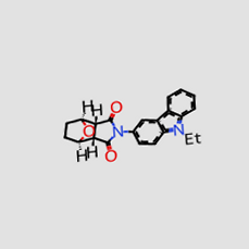 CCn1c2ccccc2c2cc(N3C(=O)[C@@H]4[C@H](C3=O)[C@H]3CC[C@@H]4O3)ccc21